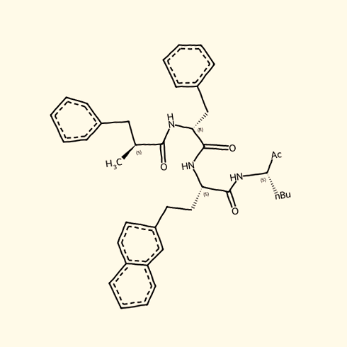 CCCC[C@H](NC(=O)[C@H](CCc1ccc2ccccc2c1)NC(=O)[C@@H](Cc1ccccc1)NC(=O)[C@@H](C)Cc1ccccc1)C(C)=O